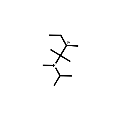 CC[C@@H](C)C(C)(C)P(C)C(C)C